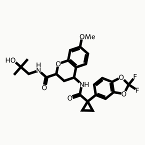 COc1ccc2c(c1)OC(C(=O)NCC(C)(C)O)CC2NC(=O)C1(c2ccc3c(c2)OC(F)(F)O3)CC1